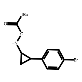 CC(C)(C)C(=O)ONC1CC1c1ccc(Br)cc1